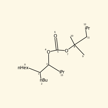 CCCCCCC(CCCC)C(OC(=O)OC(C)(C)CC(C)C)C(C)C